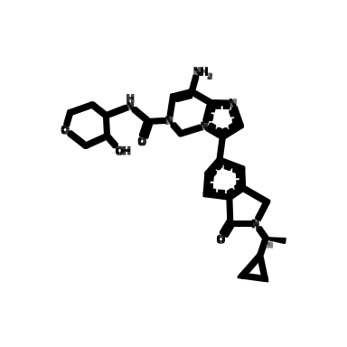 C[C@@H](C1CC1)N1Cc2cc(-c3cnc4n3CN(C(=O)NC3CCOCC3O)C=C4N)ccc2C1=O